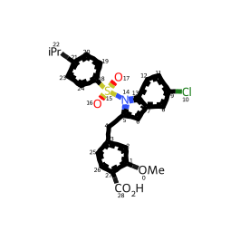 COc1cc(Cc2cc3cc(Cl)ccc3n2S(=O)(=O)c2ccc(C(C)C)cc2)ccc1C(=O)O